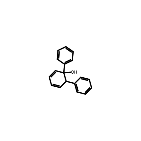 OC1(c2ccccc2)C=CC=CC1c1ccccc1